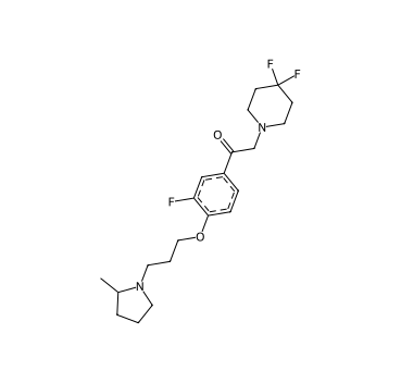 CC1CCCN1CCCOc1ccc(C(=O)CN2CCC(F)(F)CC2)cc1F